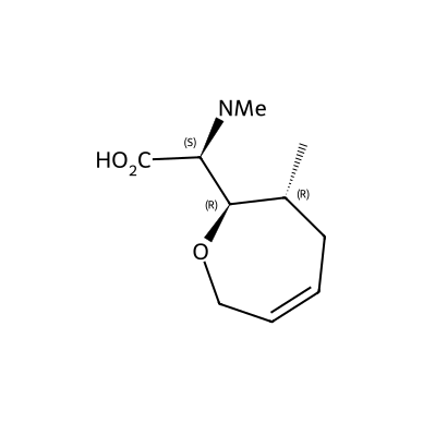 CN[C@H](C(=O)O)[C@@H]1OCC=CC[C@H]1C